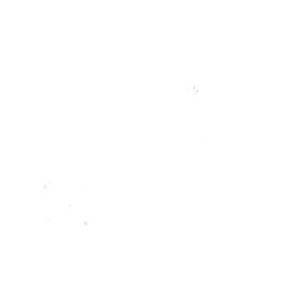 CC(C)[Si](OCc1ccc(COc2ccccc2[N+](=O)[O-])cc1)(C(C)C)C(C)C